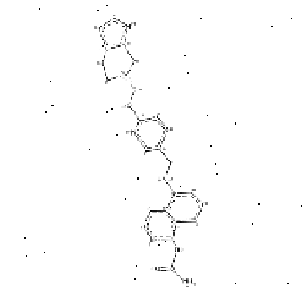 NC(=O)Oc1nccc2c(NCc3ccc(OC[C@@H]4CCn5ccnc5C4)nc3)cccc12